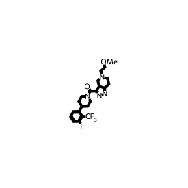 COCCN1CCC2=NN=C(C(=O)N3CCC(c4cccc(F)c4C(F)(F)F)CC3)C2C1